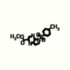 COC(=O)c1cnc2c(ccn2S(=O)(=O)c2ccc(C)cc2)n1